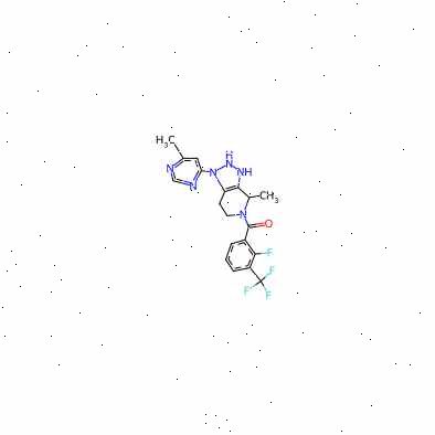 Cc1cc(N2NNC3=C2CCN(C(=O)c2cccc(C(F)(F)F)c2F)C3C)ncn1